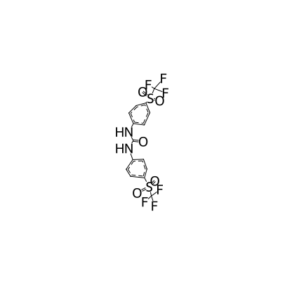 O=C(Nc1ccc(S(=O)(=O)C(F)(F)F)cc1)Nc1ccc(S(=O)(=O)C(F)(F)F)cc1